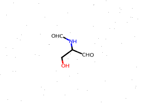 O=CNC(C=O)CO